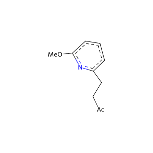 COc1cccc(CCC(C)=O)n1